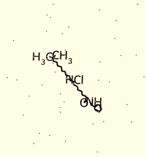 CC(C)CCCCCCCCCCCCCCCCC(=O)NCc1ccccc1.Cl